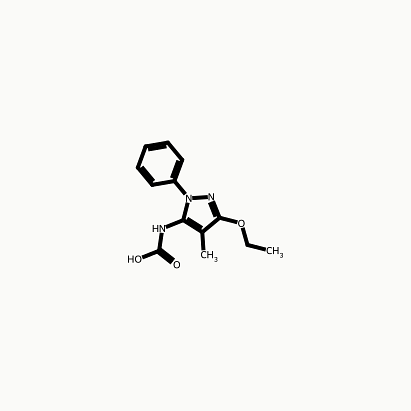 CCOc1nn(-c2ccccc2)c(NC(=O)O)c1C